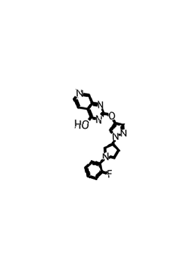 Oc1nc(Oc2cnn(C3CCN(c4ccccc4F)C3)c2)nc2cnccc12